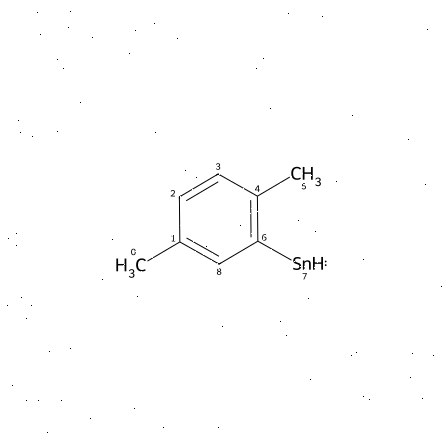 Cc1ccc(C)[c]([SnH])c1